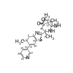 CC1Cc2nc([C@]3(C)CS(=O)(=O)C(C)(C)C(=N)N3)sc2C=C1c1cccnc1